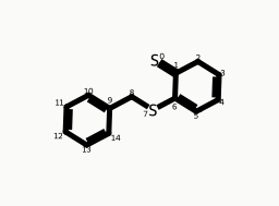 S=C1CC=C[C]=C1SCc1ccccc1